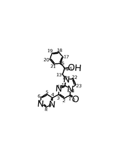 O=c1cc(-c2ccncn2)nc2n(CC(O)c3ccccc3)ccn12